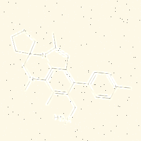 Cc1ccc(-c2c(CC(=O)O)c(C)c3c4c2cc(C)n4C2(CCCC2)CN3C)cc1